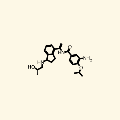 C=C(NC(=O)c1ccc(OC(C)C)c(N)c1)c1cccc2c1CCC2NC[C@@H](C)O